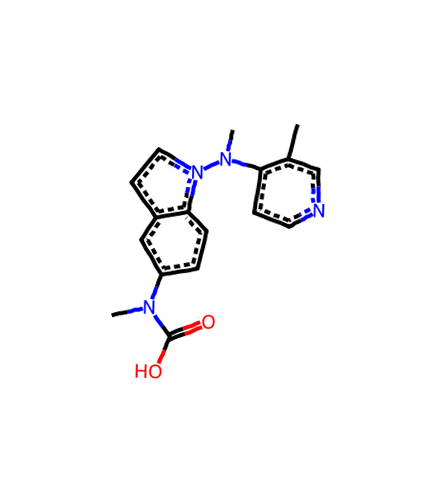 Cc1cnccc1N(C)n1ccc2cc(N(C)C(=O)O)ccc21